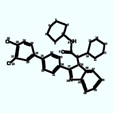 O=C(NC1CCCCC1)C(C1CCCCC1)n1c(-c2ccc(-c3ccc(Cl)c(Cl)c3)cc2)nc2ccccc21